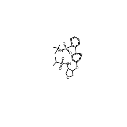 CC(C)S(=O)(=O)NC1COCC1Oc1ccc(-c2ccccc2S(=O)(=O)NC(C)(C)C)cc1